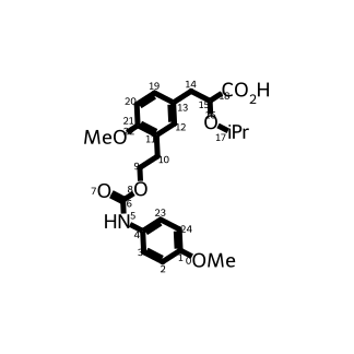 COc1ccc(NC(=O)OCCc2cc(CC(OC(C)C)C(=O)O)ccc2OC)cc1